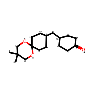 CC1(C)COC2(CCC(CC3CCC(=O)CC3)CC2)OC1